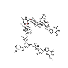 CC[C@H]1O[C@@H](n2cnc3c(=O)[nH]c(N)nc32)C[C@H]1OP(=O)(S)OC[C@H]1O[C@@H](n2cnc3c(N)ncnc32)C[C@H]1OP(=O)(S)OC[C@]12O[C@@H](n3cnc4c(=O)[nH]c(N)nc43)C(O[C@H]1C)[C@H]2OP(=O)(O)OC[C@]12O[C@@H](n3cnc4c(=O)[nH]c(N)nc43)C(O[C@H]1C)[C@H]2OP(=O)(S)OC[C@]12O[C@@H](n3cnc4c(=O)[nH]c(C)nc43)C(O[C@H]1C)[C@H]2O